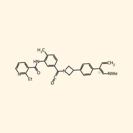 C=C/C(=C\NC)c1ccc(C2CN(C(=C=O)c3ccc(C)c(NC(=O)c4cccnc4CC)c3)C2)cc1